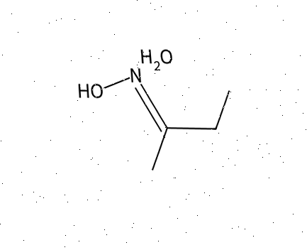 CCC(C)=NO.O